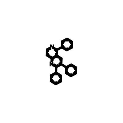 c1ccc(-c2cc3c(-c4ccccc4)nccc3nc2-c2ccccc2)cc1